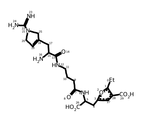 CCc1oc(CC(NC(=O)CCCNC(=O)C(N)CC2=CCN(C(=N)N)C2)C(=O)O)cc1C(=O)O